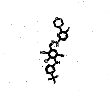 Oc1c(/C=N\Nc2ccc(F)c(N3CCOCC3)n2)cc(Br)c(Nc2cccc(C(F)(F)F)c2)c1Cl